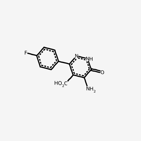 Nc1c(C(=O)O)c(-c2ccc(F)cc2)n[nH]c1=O